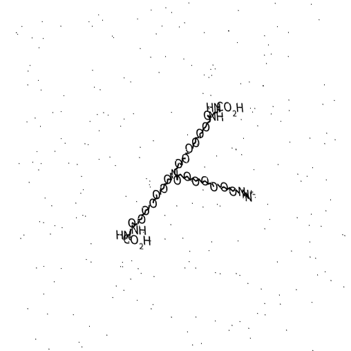 [N-]=[N+]=NCCOCCOCCOCCOCCOCCOCCC(=O)N(CCOCCOCCOCCOCCOCCOCCC(=O)NCCNC(=O)O)CCOCCOCCOCCOCCOCCOCCC(=O)NCCNC(=O)O